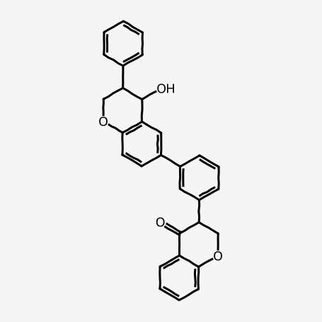 O=C1c2ccccc2OCC1c1cccc(-c2ccc3c(c2)C(O)C(c2ccccc2)CO3)c1